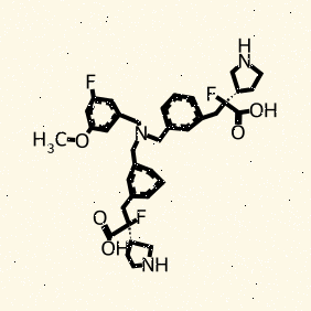 COc1cc(F)cc(CN(Cc2cccc(CC(F)(C(=O)O)[C@H]3CCNC3)c2)Cc2cccc(CC(F)(C(=O)O)[C@H]3CCNC3)c2)c1